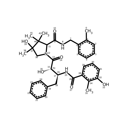 Cc1ccccc1CNC(=O)C1N(C(=O)[C@@H](O)[C@H](Cc2ccccc2)NC(=O)c2cccc(O)c2C)CC(C)(O)C1(C)C